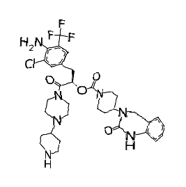 Nc1c(Cl)cc(C[C@@H](OC(=O)N2CCC(N3Cc4ccccc4NC3=O)CC2)C(=O)N2CCN(C3CCNCC3)CC2)cc1C(F)(F)F